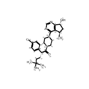 C[C@@H]1C[C@@H](O)c2ncnc(N3CCN(C(=O)[C@H](CCC(C)(C)N)c4ccc(Cl)cc4)CC3)c21